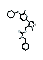 Cc1nc(-c2cnn(C)c2COC(=O)N(C)Cc2ccccc2)ccc1OC1CCCCC1